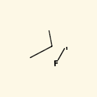 CCC.[CH]F